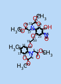 COC(=O)CN(CC(=O)OC)c1ccc(C)cc1OCCOc1cc(N=O)c(O)cc1N(CC(=O)OC)CC(=O)OC